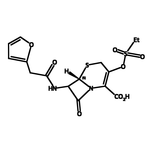 CCS(=O)(=O)OC1=C(C(=O)O)N2C(=O)C(NC(=O)Cc3ccco3)[C@@H]2SC1